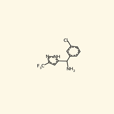 NC(c1cccc(Cl)c1)c1cc(C(F)(F)F)n[nH]1